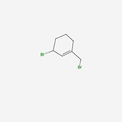 BrCC1=CC(Br)CCC1